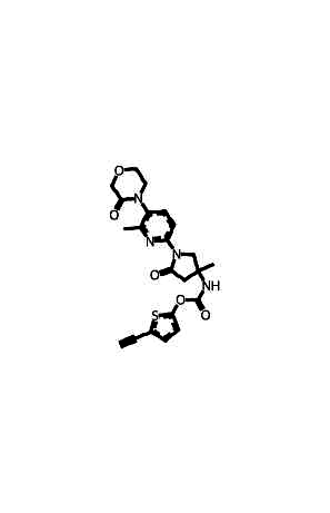 C#Cc1ccc(OC(=O)NC2(C)CC(=O)N(c3ccc(N4CCOCC4=O)c(C)n3)C2)s1